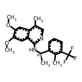 COc1cc2c(C)cnc(N[C@H](C)c3cccc(C(F)(F)F)c3C)c2cc1OC